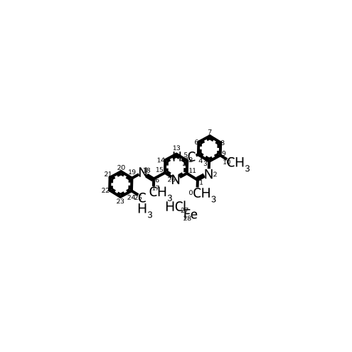 C/C(=N/c1c(C)cccc1C)c1cccc(/C(C)=N/c2ccccc2C)n1.Cl.[Fe]